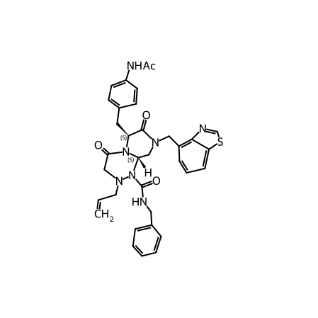 C=CCN1CC(=O)N2[C@@H](Cc3ccc(NC(C)=O)cc3)C(=O)N(Cc3cccc4scnc34)C[C@@H]2N1C(=O)NCc1ccccc1